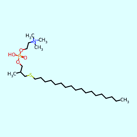 CCCCCCCCCCCCCCCCCCSCC(C)COP(=O)(O)OCC[N+](C)(C)C